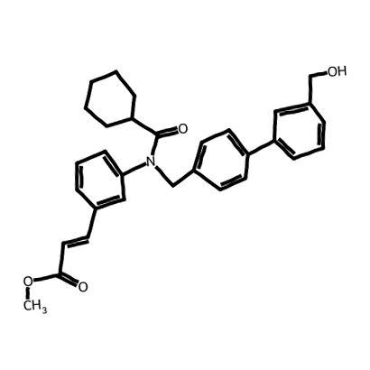 COC(=O)/C=C/c1cccc(N(Cc2ccc(-c3cccc(CO)c3)cc2)C(=O)C2CCCCC2)c1